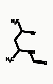 CC(Br)CC(C)NC=O